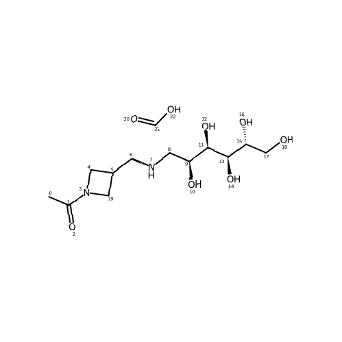 CC(=O)N1CC(CNC[C@H](O)[C@@H](O)[C@H](O)[C@H](O)CO)C1.O=CO